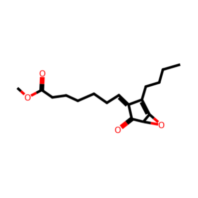 CCCCC1=C2OC2C(=O)C1=CCCCCCC(=O)OC